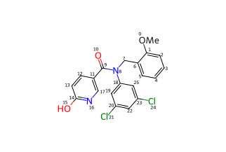 COc1ccccc1CN(C(=O)c1ccc(O)nc1)c1cc(Cl)cc(Cl)c1